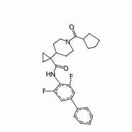 O=C(C1CCCC1)N1CCC(C2(C(=O)Nc3c(F)cc(-c4ccccc4)cc3F)CC2)CC1